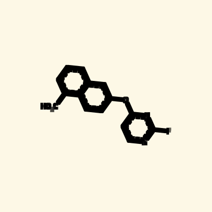 O=C(O)c1cccc2cc(Oc3ccnc(F)n3)ccc12